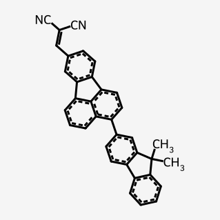 CC1(C)c2ccccc2-c2ccc(-c3ccc4c5c(cccc35)-c3cc(C=C(C#N)C#N)ccc3-4)cc21